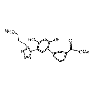 COCCCn1nnnc1-c1cc(-c2cccc(C(=O)OC)c2)c(O)cc1O